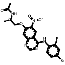 CC(=O)N[C@H](C)COc1cc2ncnc(Nc3ccc(Br)cc3F)c2cc1[N+](=O)[O-]